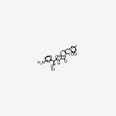 CCON=C(C(=O)NC1C(=O)N2C(C(=O)[O-])=C(C[n+]3cccc(C)c3)CS[C@@H]12)c1nccc(N)n1